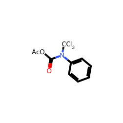 CC(=O)OC(=O)N(c1ccccc1)C(Cl)(Cl)Cl